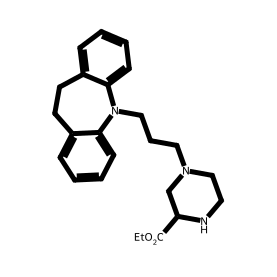 CCOC(=O)C1CN(CCCN2c3ccccc3CCc3ccccc32)CCN1